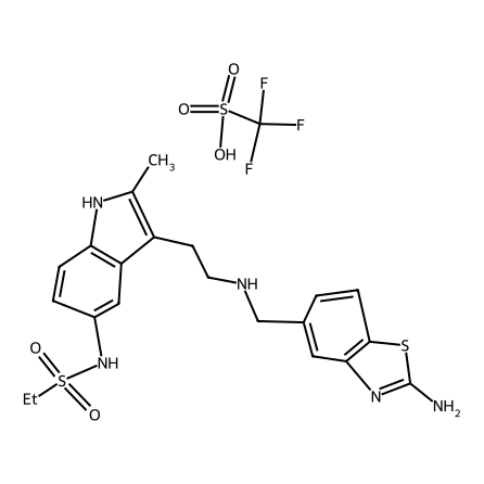 CCS(=O)(=O)Nc1ccc2[nH]c(C)c(CCNCc3ccc4sc(N)nc4c3)c2c1.O=S(=O)(O)C(F)(F)F